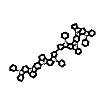 c1ccc(-n2c3ccccc3c3c4c5cccc6c7cc8c(cc7n(c4ccc32)c65)c2cccc3c4c5c6ccc(-c7ccc9c(c7)c7cc%10c%11ccccc%11n%11c%12cc%13c%14c%15c(cc%16c%17ccccc%17n(c%13cc%12c(c7n9-c7ccccc7)c%10%11)c%16%14)c7ccccc7n%15-c7ccccc7)cc6n(-c6ccccc6)c5ccc4n8c23)cc1